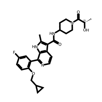 Cc1[nH]c2c(-c3cc(F)ccc3OCC3CC3)nccc2c1C(=O)NC1CCN(C(=O)[C@H](C)O)CC1